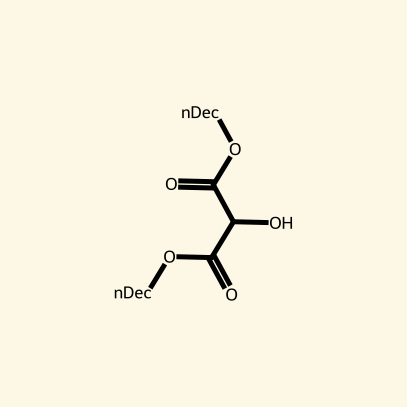 CCCCCCCCCCOC(=O)C(O)C(=O)OCCCCCCCCCC